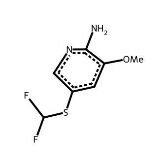 COc1cc(SC(F)F)cnc1N